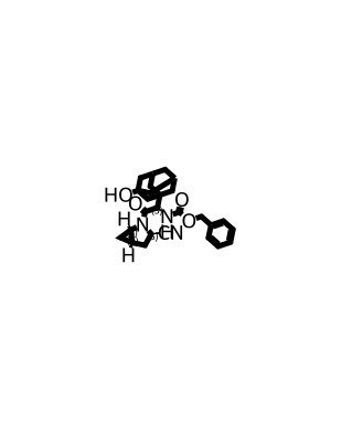 N#C[C@@H]1C[C@@H]2C[C@@H]2N1C(=O)[C@@H](NC(=O)OCc1ccccc1)C12CC3CC(CC(O)(C3)C1)C2